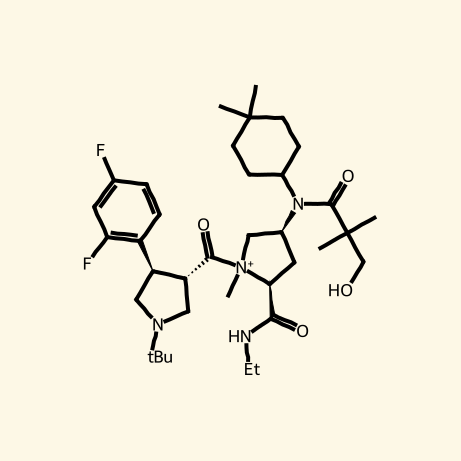 CCNC(=O)[C@@H]1C[C@H](N(C(=O)C(C)(C)CO)C2CCC(C)(C)CC2)C[N+]1(C)C(=O)[C@@H]1CN(C(C)(C)C)C[C@H]1c1ccc(F)cc1F